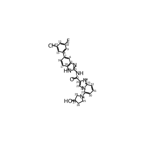 O=C(Nc1nc2cc(-c3cc(F)cc(Cl)c3)ccc2[nH]1)c1cn2c(N3CC[C@@H](O)C3)cccc2n1